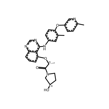 Cc1ccc(Oc2ccc(Nc3ncnc4cccc(O[C@H](C)C(=O)N5CC[C@@H](O)C5)c34)cc2C)cn1